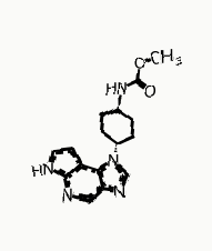 COC(=O)N[C@H]1CC[C@H](n2cnc3cnc4[nH]ccc4c32)CC1